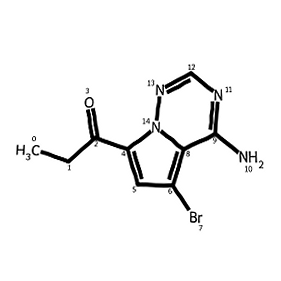 CCC(=O)c1cc(Br)c2c(N)ncnn12